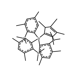 CC1=C(C)C(C)C([Si](c2cc(C)cc(C)c2N(C)C)(c2cc(C)cc(C)c2N(C)C)c2cc(C)cc(C)c2N(C)C)=C1C